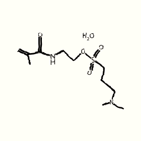 C=C(C)C(=O)NCCOS(=O)(=O)CCCN(C)C.O